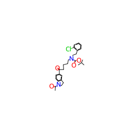 CC(=O)N1CCc2cc(C(=O)CCCCN(CCc3ccccc3Cl)C(=O)OC(C)(C)C)ccc21